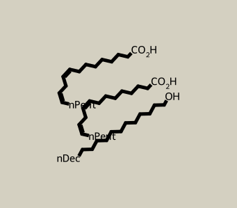 CCCCC/C=C\C/C=C\CCCCCCCC(=O)O.CCCCC/C=C\C/C=C\CCCCCCCC(=O)O.CCCCCCCCCCCCCCCCCCCCCCO